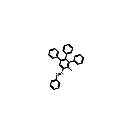 Cc1c(N=Nc2ccccc2)cc(-c2ccccc2)c(-c2ccccc2)c1-c1ccccc1